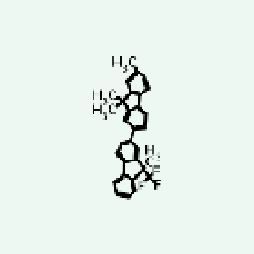 Cc1ccc2c(c1)C(C)(C)c1cc(-c3ccc4c(c3)C(C)(C(F)(F)F)c3ccccc3-4)ccc1-2